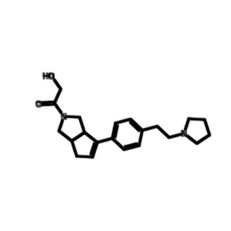 O=C(CO)N1CC2CC=C(c3ccc(CCN4CCCC4)cc3)C2C1